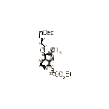 CCCCCCCCCCCCCCOc1c2ncnc(SCC(=O)OCC)c2nn1C